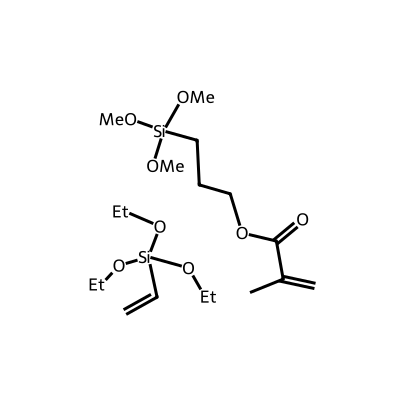 C=C(C)C(=O)OCCC[Si](OC)(OC)OC.C=C[Si](OCC)(OCC)OCC